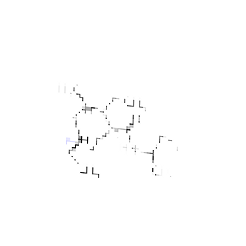 C/C=C/C[C@@H](C)C(CC)[C@H](C)C(=O)NC(C)C